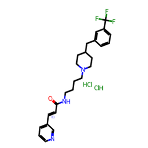 Cl.Cl.O=C(/C=C/c1cccnc1)NCCCCN1CCC(Cc2cccc(C(F)(F)F)c2)CC1